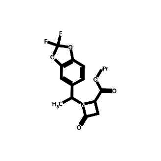 CC(C)OC(=O)C1CC(=O)N1C(C)c1ccc2c(c1)OC(F)(F)O2